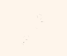 COc1cc(C#N)ccc1OCCCN1CCC(c2noc3cc(I)ccc23)CC1